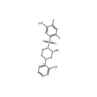 Cc1cc(C)c(S(=O)(=O)N2CCN(c3ccccc3C#N)C[C@@H]2C)cc1C=O